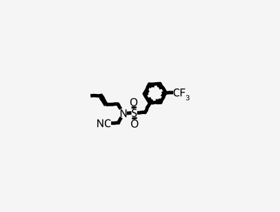 CC=CCN(CC#N)S(=O)(=O)Cc1cccc(C(F)(F)F)c1